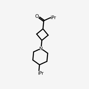 CC(C)C(=O)C1CC(N2CCC(C(C)C)CC2)C1